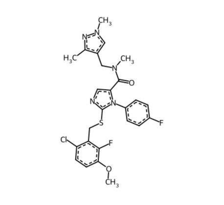 COc1ccc(Cl)c(CSc2ncc(C(=O)N(C)Cc3cn(C)nc3C)n2-c2ccc(F)cc2)c1F